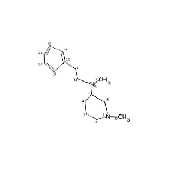 CN1CCCC(N(C)CCc2ccccc2)C1